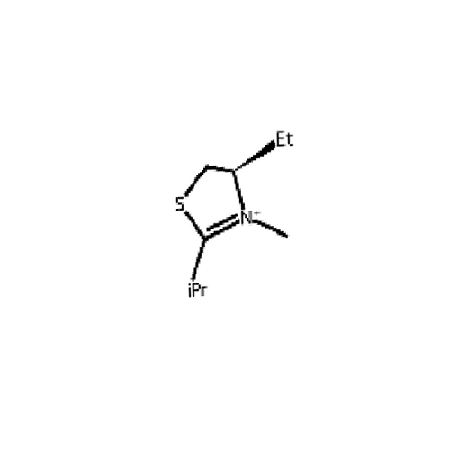 CC[C@@H]1CSC(C(C)C)=[N+]1C